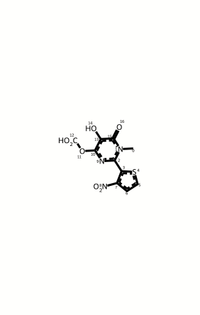 Cn1c(-c2sccc2[N+](=O)[O-])nc(OC(=O)O)c(O)c1=O